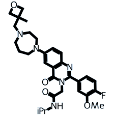 COc1cc(-c2nc3ccc(N4CCCN(CC5(C)COC5)CC4)cc3c(=O)n2CC(=O)NC(C)C)ccc1F